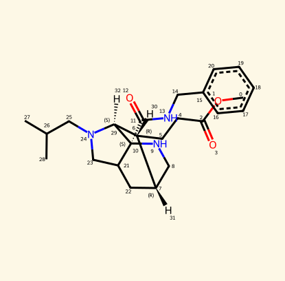 COC(=O)CC[C@@H]1[C@@H]2CN[C@@]3(C(=O)NCc4ccccc4)C(C2)CN(CC(C)C)[C@@H]13